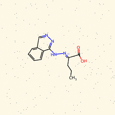 CCC/C(=N\Nc1nncc2ccccc12)C(=O)O